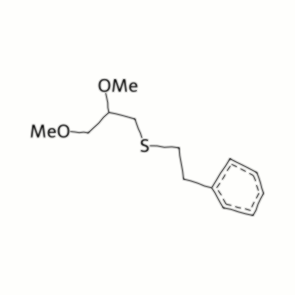 COCC(CSCCc1ccccc1)OC